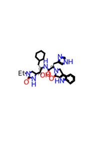 CCN1CC([C@H](O)[C@H](CC2CCCCC2)NC(=O)[C@H](Cc2c[nH]cn2)N2Cc3c([nH]c4ccccc34)C2=O)NC1=O